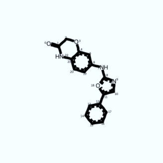 O=C1COc2cc(Nc3ncc(-c4ccccc4)o3)ccc2N1